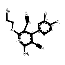 N#Cc1c(N)nc(OCCO)c(C#N)c1-c1ccc(Cl)c(Cl)c1